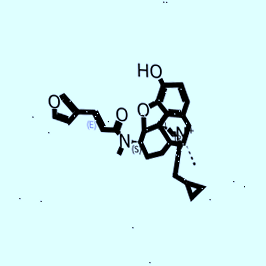 CN(C(=O)/C=C/c1ccoc1)[C@H]1CCC2C3Cc4ccc(O)c5c4[C@]2(CC[N@+]3(C)CC2CC2)C1O5